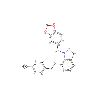 Cc1ccc(CCc2cccc3c2N(Cc2ccc4c(c2)OCO4)CC3)cc1